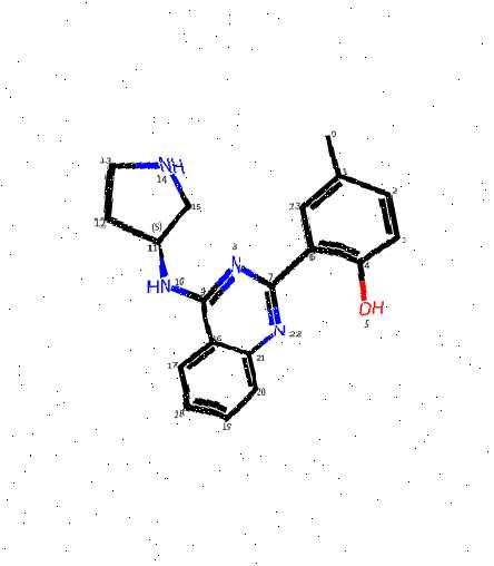 Cc1ccc(O)c(-c2nc(N[C@H]3CCNC3)c3ccccc3n2)c1